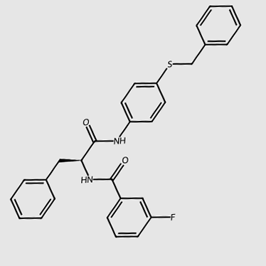 O=C(N[C@@H](Cc1ccccc1)C(=O)Nc1ccc(SCc2ccccc2)cc1)c1cccc(F)c1